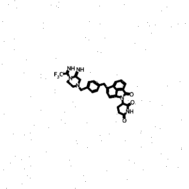 N=C1CN(Cc2ccc(Cc3ccc4c5c(cccc35)C(=O)N4C3CCC(=O)NC3=O)cc2)CCN1C(=N)C(F)(F)F